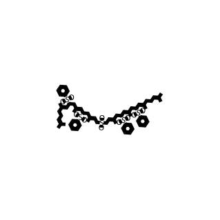 CC(C)=CCC/C(C)=C/C(C/C(C)=C/C(C/C(C)=C/CS(=O)(=O)C/C=C(\C)CC(/C=C(\C)CC(/C=C(\C)CCC=C(C)C)S(=O)(=O)c1ccccc1)S(=O)(=O)c1ccccc1)S(=O)(=O)c1ccccc1)S(=O)(=O)c1ccccc1